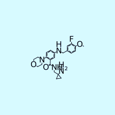 COc1ccc(CNc2ccc(N3CCOCC3)c(C(=O)NCC3(N)CC3)c2)cc1F